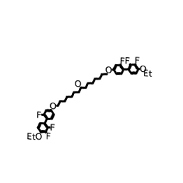 CCOc1ccc(-c2ccc(OCCCCCCCC(=O)CCCCCCCOc3ccc(-c4ccc(OCC)c(F)c4F)c(F)c3)cc2F)c(F)c1F